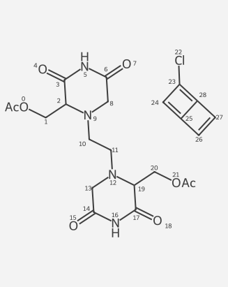 CC(=O)OCC1C(=O)NC(=O)CN1CCN1CC(=O)NC(=O)C1COC(C)=O.Clc1cc2ccc1-2